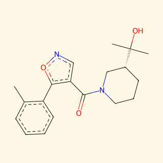 Cc1ccccc1-c1oncc1C(=O)N1CCC[C@@H](C(C)(C)O)C1